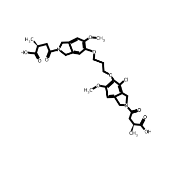 COc1cc2c(cc1OCCCOc1c(OC)cc3c(c1Cl)CN(C(=O)C[C@H](C)C(=O)O)C3)CN(C(=O)C[C@H](C)C(=O)O)C2